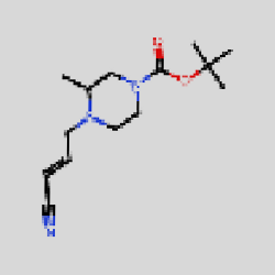 CC1CN(C(=O)OC(C)(C)C)CCN1CC=CC#N